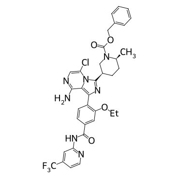 CCOc1cc(C(=O)Nc2cc(C(F)(F)F)ccn2)ccc1-c1nc([C@@H]2CC[C@H](C)N(C(=O)OCc3ccccc3)C2)n2c(Cl)cnc(N)c12